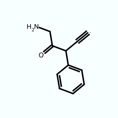 [C]#CC(C(=O)CN)c1ccccc1